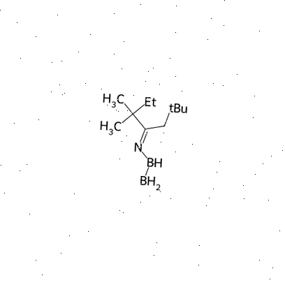 BB/N=C(\CC(C)(C)C)C(C)(C)CC